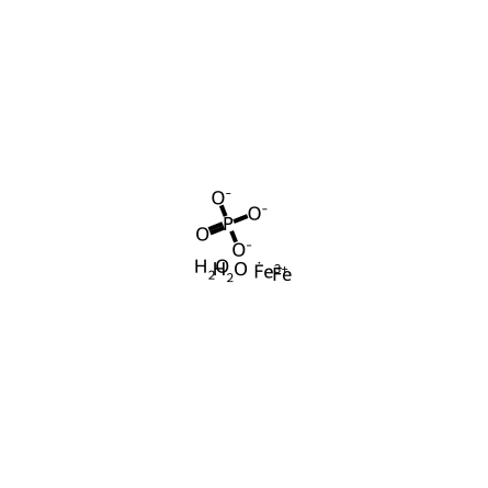 O.O.O=P([O-])([O-])[O-].[Fe+3].[Fe]